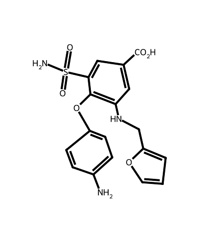 Nc1ccc(Oc2c(NCc3ccco3)cc(C(=O)O)cc2S(N)(=O)=O)cc1